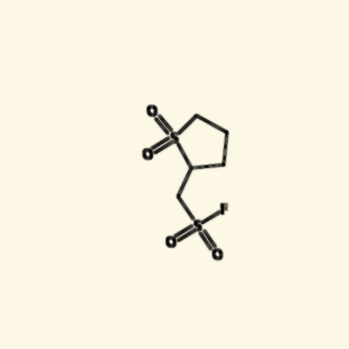 O=S(=O)(F)CC1CCCS1(=O)=O